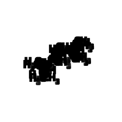 CNc1cc(C2=CCN(/C(=N\C(=O)OC(C)(C)C)NC(=O)OC(C)(C)C)CC2)ccc1-c1nnc(-c2ccc(C3=CCN(/C(=N/C(=O)OC(C)(C)C)NC(=O)OC(C)(C)C)CC3)cc2NC)o1